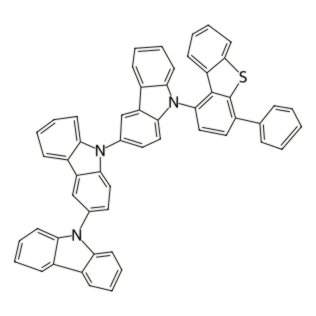 c1ccc(-c2ccc(-n3c4ccccc4c4cc(-n5c6ccccc6c6cc(-n7c8ccccc8c8ccccc87)ccc65)ccc43)c3c2sc2ccccc23)cc1